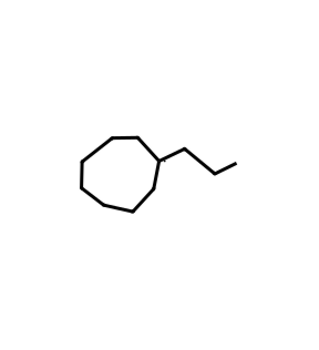 CCC[C]1CCCCCCC1